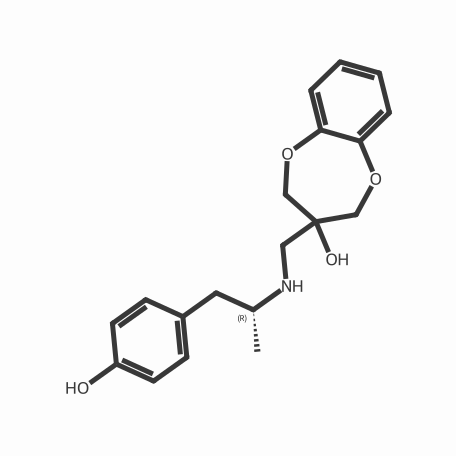 C[C@H](Cc1ccc(O)cc1)NCC1(O)COc2ccccc2OC1